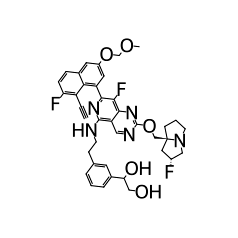 C#Cc1c(F)ccc2cc(OCOC)cc(-c3nc(NCCc4cccc(C(O)CO)c4)c4cnc(OC[C@@]56CCCN5C[C@H](F)C6)nc4c3F)c12